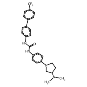 CN(C)C1CCN(c2ccc(NC(=O)Nc3ccc(-c4ccc(C(F)(F)F)cc4)cc3)cc2)C1